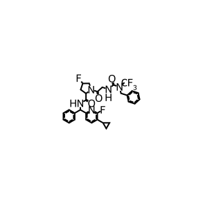 O=C(NC(c1ccccc1)c1ccc(C2CC2)c(F)n1)C1CC(F)CN1C(=O)CNC(=O)N(Cc1ccccc1)C(F)(F)F